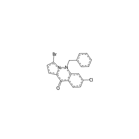 O=c1c2ccc(Cl)cc2n(Cc2ccccc2)n2c(Br)ccc12